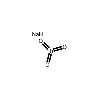 [NaH].[O]=[Ti](=[O])=[O]